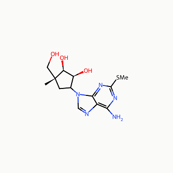 CSc1nc(N)c2ncn(C3C[C@](C)(CO)[C@@H](O)[C@H]3O)c2n1